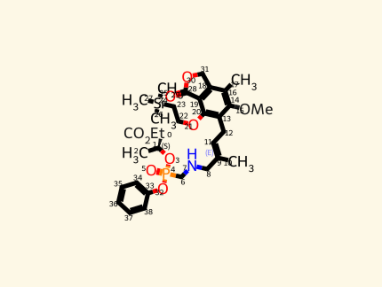 CCOC(=O)[C@H](C)OP(=O)(CNC/C(C)=C/Cc1c(OC)c(C)c2c(c1OCC[Si](C)(C)C)C(=O)OC2)Oc1ccccc1